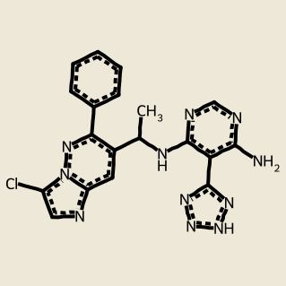 CC(Nc1ncnc(N)c1-c1nn[nH]n1)c1cc2ncc(Cl)n2nc1-c1ccccc1